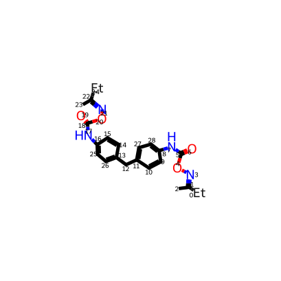 CC/C(C)=N/OC(=O)Nc1ccc(Cc2ccc(NC(=O)O/N=C(\C)CC)cc2)cc1